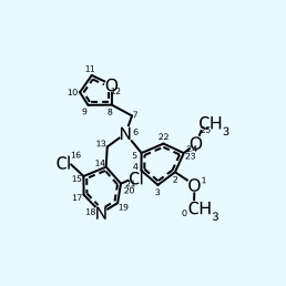 COc1ccc(N(Cc2ccco2)Cc2c(Cl)cncc2Cl)cc1OC